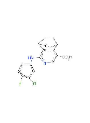 O=C(O)c1cnc(Nc2ccc(F)c(Cl)c2)c2c1C1CCC2CC1